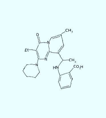 CCc1c(N2CCCCC2)nc2c(C(C)Nc3ccccc3C(=O)O)cc(C)cn2c1=O